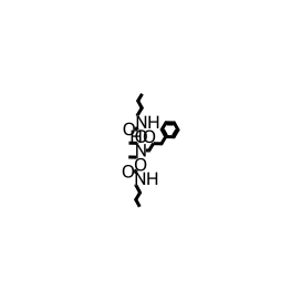 CCCCNC(=O)OC(C)N(CC(O)Cc1ccccc1)C(C)OC(=O)NCCCC